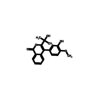 COc1ccc(-c2c(C(C)(C)O)oc(=O)c3ccccc23)cc1O